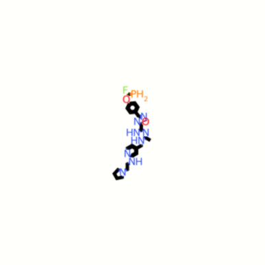 C/C(=N/C(=N)c1nc(-c2ccc(OC(F)P)cc2)no1)NCc1ccnc(NCCN2CCCC2)c1